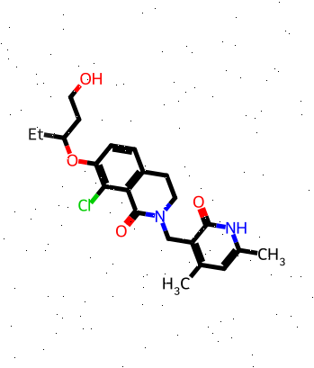 CCC(CCO)Oc1ccc2c(c1Cl)C(=O)N(Cc1c(C)cc(C)[nH]c1=O)CC2